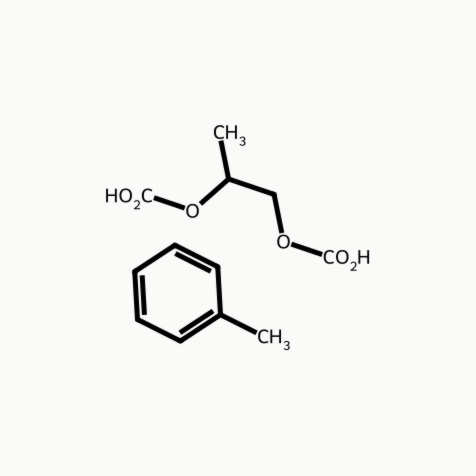 CC(COC(=O)O)OC(=O)O.Cc1ccccc1